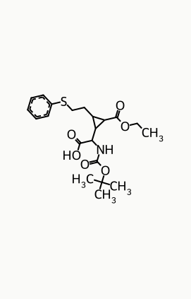 CCOC(=O)C1C(CCSc2ccccc2)C1C(NC(=O)OC(C)(C)C)C(=O)O